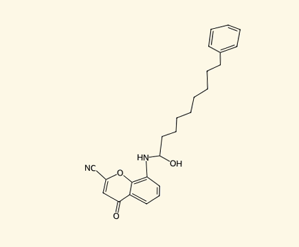 N#Cc1cc(=O)c2cccc(NC(O)CCCCCCCCc3ccccc3)c2o1